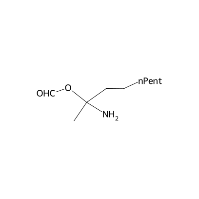 CCCCCCCC(C)(N)OC=O